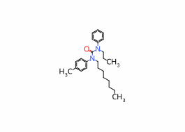 CCCCCCCCN(C(=O)N(CCC)c1ccccc1)c1ccc(C)cc1